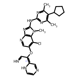 Cc1nc(Nc2nc3ncc(O/C(C=N)=C4\C=NC=CN4)c(Cl)c3n2C)nc(C)c1C1CCCC1